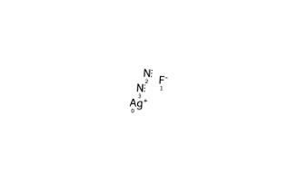 [Ag+].[F-].[N].[N]